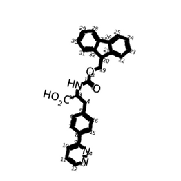 O=C(N[C@@H](Cc1ccc(-c2cccnn2)cc1)C(=O)O)OCC1c2ccccc2-c2ccccc21